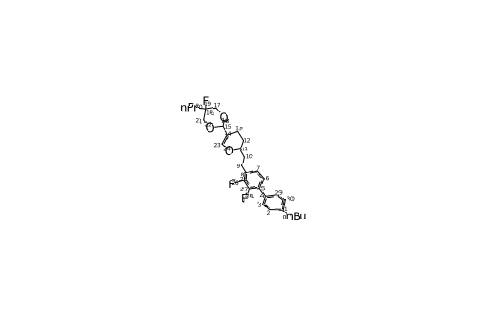 CCCCc1ccc(-c2ccc(CCC3CCC(C4OCC(F)(CCC)CO4)=CO3)c(F)c2F)cc1